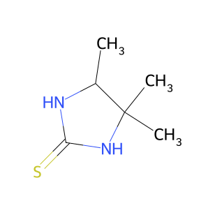 CC1NC(=S)NC1(C)C